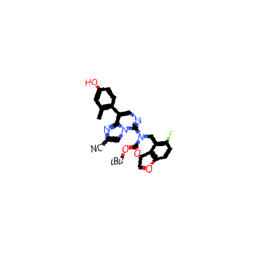 Cc1cc(O)ccc1-c1cnc(N(Cc2c(F)ccc3c2CCO3)C(=O)OC(C)(C)C)n2cc(C#N)nc12